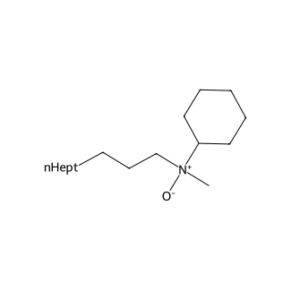 CCCCCCCCCC[N+](C)([O-])C1CCCCC1